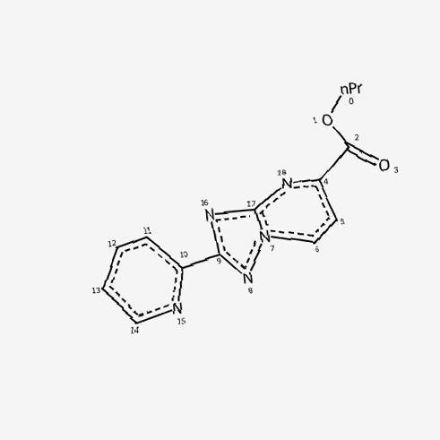 CCCOC(=O)c1ccn2nc(-c3ccccn3)nc2n1